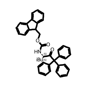 CC[C@H](C)[C@H](NC(=O)OCC1c2ccccc2-c2ccccc21)C(=O)C(c1ccccc1)(c1ccccc1)c1ccccc1